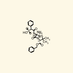 CC1(C)S[C@H]2N(C(=O)[C@@]2(N)NC(=O)C(c2ccccc2)S(=O)(=O)O)[C@H]1C(=O)OCc1ccccc1